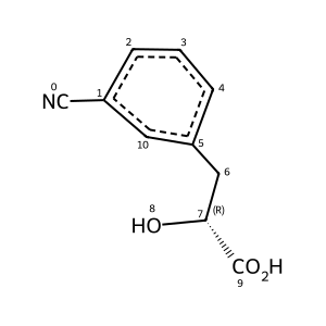 N#Cc1cccc(C[C@@H](O)C(=O)O)c1